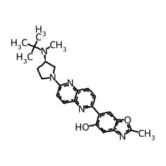 Cc1nc2cc(O)c(-c3ccc4nc(N5CC[C@@H](N(C)C(C)(C)C)C5)ccc4n3)cc2o1